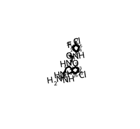 N=C(N)NCCC(NC(=O)C(=O)Nc1ccc(Cl)c(F)c1)c1ccc(Cl)cc1Cl